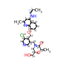 C/C=C\Nc1cc(C)nc2c(OCc3c(Cl)cncc3CN3CC(CO)OC(C)C3=O)cccc12